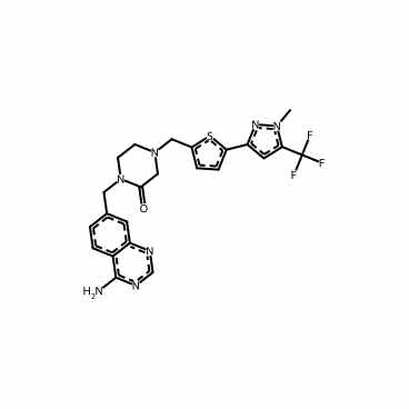 Cn1nc(-c2ccc(CN3CCN(Cc4ccc5c(N)ncnc5c4)C(=O)C3)s2)cc1C(F)(F)F